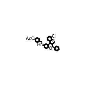 CC(=O)Oc1ccc(CNc2cccc(-c3c(C(=O)c4ccccc4)cnc4c(Cl)cccc34)c2)cc1